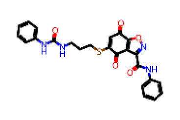 O=C(NCCCSC1=CC(=O)c2onc(C(=O)Nc3ccccc3)c2C1=O)Nc1ccccc1